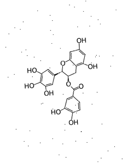 O=C(O[C@@H]1Cc2c(O)cc(O)cc2O[C@@H]1c1cc(O)c(O)c(O)c1)c1ccc(O)c(O)c1